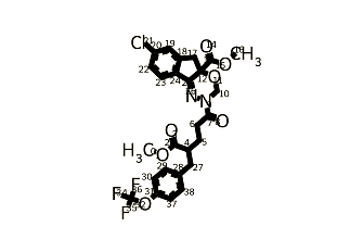 COC(=O)C(CCC(=O)N1COC2(C(=O)OC)Cc3cc(Cl)ccc3C2=N1)Cc1ccc(OC(F)(F)F)cc1